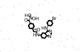 O=C(c1ccc(CC(O)Nc2ccc3ncnc(Nc4ccc(Br)cc4)c3c2)cc1)N(O)O